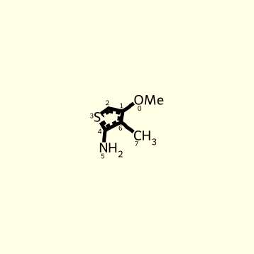 COc1csc(N)c1C